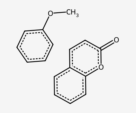 COc1ccccc1.O=c1ccc2ccccc2o1